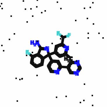 Cc1cc(C2(c3ccnc(-c4cncnc4)c3)N=C(N)c3c(F)cccc32)cc(C(F)F)n1